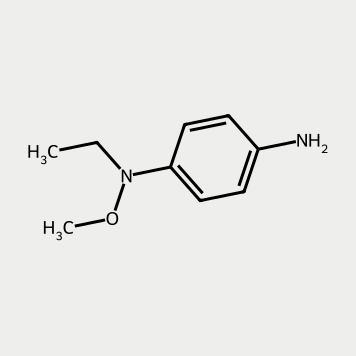 CCN(OC)c1ccc(N)cc1